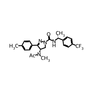 CC(=O)N(C)[C@@H]1CN(C(=O)N[C@H](C)c2ccc(C(F)(F)F)cc2)N=C1c1ccc(C)cc1